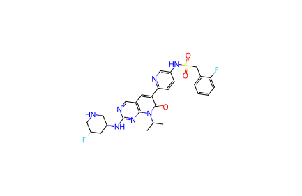 CC(C)n1c(=O)c(-c2ccc(NS(=O)(=O)Cc3ccccc3F)cn2)cc2cnc(N[C@@H]3CNC[C@@H](F)C3)nc21